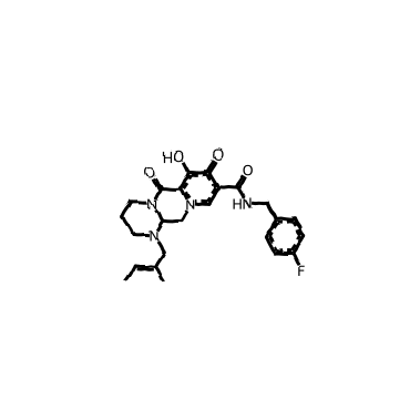 CC=C(C)CN1CCCN2C(=O)c3c(O)c(=O)c(C(=O)NCc4ccc(F)cc4)cn3CC12